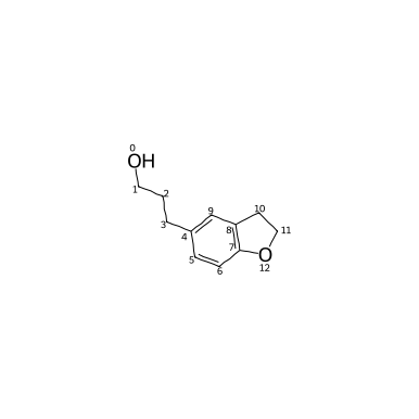 OCCCc1ccc2c(c1)CCO2